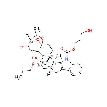 C=C1O[C@@]23CC[C@]4(C)[C@@]5(C)c6c(c7ccccc7n6C(=O)OCCCO)C[C@@H]5C[C@H](OCCC)[C@@]4(O)C2=CC(=O)[C@H]1O3